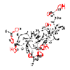 CC(=O)O[C@]1(O)CC[C@@]2(C)[C@@H](C1)C[C@](O)(OC(C)=O)[C@@H]1[C@@H]2C[C@H](O)[C@]2(C)[C@@H]([C@H](C)CCC(=O)O)CC[C@@H]12